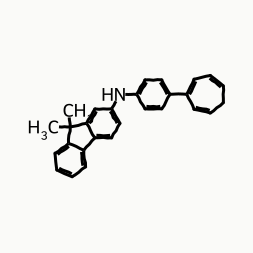 CC1(C)c2ccccc2-c2ccc(Nc3ccc(C4=CC=CCC=C4)cc3)cc21